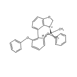 CC(C)(C)[P@]1COc2cccc(-c3c(Oc4ccccc4)cccc3Oc3ccccc3)c21